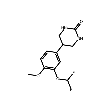 COc1ccc(C2CNC(=O)NC2)cc1OC(F)F